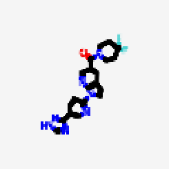 O=C(c1cnc2c(ccn2-c2ccc(-c3nc[nH]n3)cn2)c1)N1CCC(F)(F)CC1